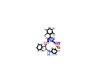 Cc1ccccc1C1CNc2cccc(c2)S(=O)(=O)Nc2nc(cc(-c3c(C)cccc3C)n2)O1